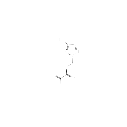 C=C(C)C(=O)OCn1nnc(C)n1